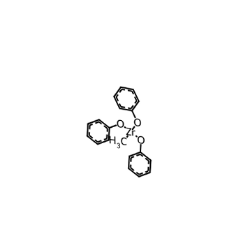 [CH3][Zr]([O]c1ccccc1)([O]c1ccccc1)[O]c1ccccc1